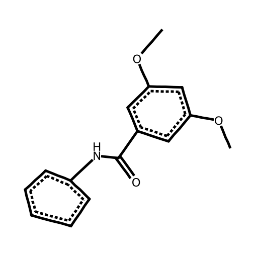 COc1cc(OC)cc(C(=O)Nc2ccccc2)c1